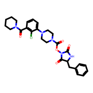 O=C(ON1C(=O)NC(Cc2ccccc2)C1=O)N1CCN(c2cccc(C(=O)N3CCCCC3)c2Cl)CC1